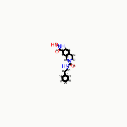 O=C(NO)C1C=CC2=C(C1)CN(C(=O)NCCc1ccccc1)CC2